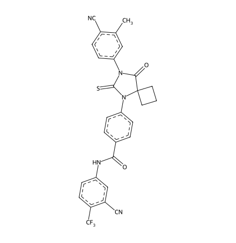 Cc1cc(N2C(=O)C3(CCC3)N(c3ccc(C(=O)Nc4ccc(C(F)(F)F)c(C#N)c4)cc3)C2=S)ccc1C#N